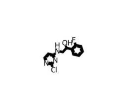 OC(CNc1ccnc(Cl)n1)c1ccccc1F